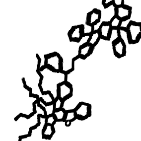 CCCCCCCC1(CCCCCCC)c2ccccc2-c2c1c1c(c3c2oc2ccccc23)-c2ccc(C(CCc3ccc4c(c3)C(c3ccccc3)(c3ccccc3)c3cc5c(cc3-4)C(c3ccccc3)(c3ccccc3)c3ccc4oc6ccccc6c4c3-5)c3cccc(C)c3)cc2C1(CCCCCCC)CCCCCCC